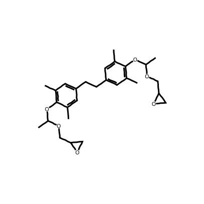 Cc1cc(CCc2cc(C)c(OC(C)OCC3CO3)c(C)c2)cc(C)c1OC(C)OCC1CO1